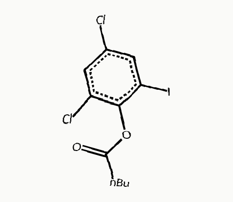 [CH2]CCCC(=O)Oc1c(Cl)cc(Cl)cc1I